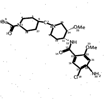 CCCCC(=O)N1CCC(CN2CC[C@@H](NC(=O)c3cc(Cl)c(N)cc3OC)[C@@H](OC)C2)CC1